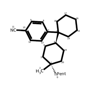 CCCCC[C@]1(C)CC[C@@H](C2(c3ccc(C#N)cc3)CCCCC2)CC1